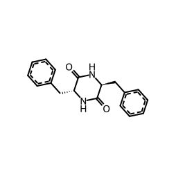 O=C1N[C@H](Cc2ccccc2)C(=O)N[C@H]1Cc1ccccc1